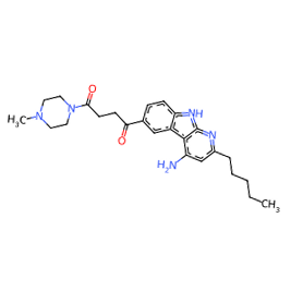 CCCCCc1cc(N)c2c(n1)[nH]c1ccc(C(=O)CCC(=O)N3CCN(C)CC3)cc12